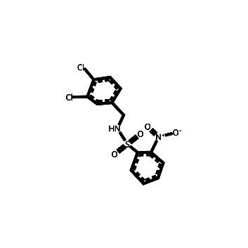 O=[N+]([O-])c1ccccc1S(=O)(=O)NCc1ccc(Cl)c(Cl)c1